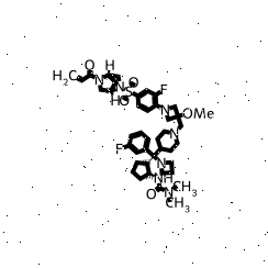 C=CC(=O)N1C[C@@H]2C[C@H]1CN2S(=O)(=O)c1ccc(N2CC(CN3CCC(C(c4cccc(F)c4)([C@H]4CCC[C@@H]4NC(=O)N(C)C)N4CCC4)CC3)(OC)C2)c(F)c1